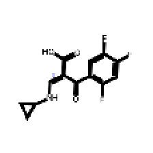 O=C(O)/C(=C/NC1CC1)C(=O)c1cc(F)c(F)cc1F